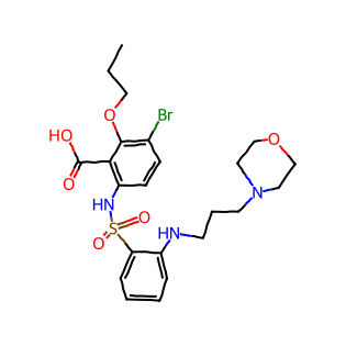 CCCOc1c(Br)ccc(NS(=O)(=O)c2ccccc2NCCCN2CCOCC2)c1C(=O)O